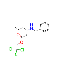 CCCC(CC(=O)OCC(Cl)(Cl)Cl)NCc1ccccc1